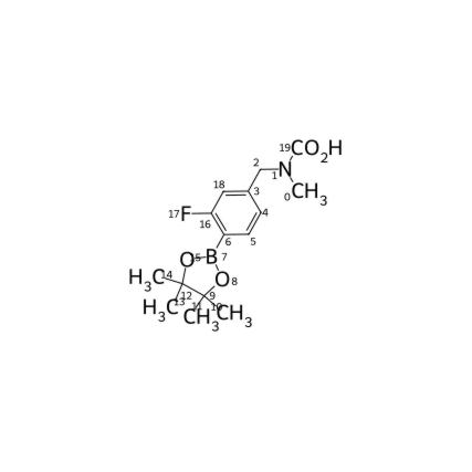 CN(Cc1ccc(B2OC(C)(C)C(C)(C)O2)c(F)c1)C(=O)O